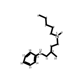 CCCCCN(C)CCC(C)CSc1ccccc1